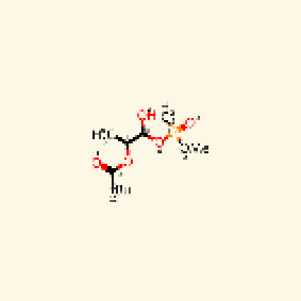 COP(C)(=O)OC(O)C(C)OC(=O)C(C)(C)C